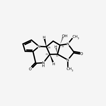 CN1C(=O)N(C)[C@]2(O)C[C@@H]3[C@@H](NC(=O)c4cccn43)[C@H]12